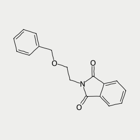 O=C1c2ccccc2C(=O)N1CCOCc1ccccc1